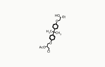 CC[C@@H](O)COc1ccc(C(C)(C)c2ccc(OC[C@@H](CCl)OC(C)=O)cc2)cc1